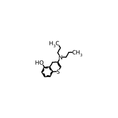 CCCN(CCC)C1=CSc2cccc(O)c2C1